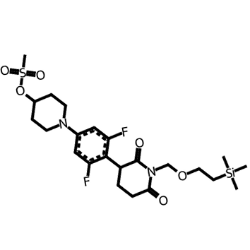 C[Si](C)(C)CCOCN1C(=O)CCC(c2c(F)cc(N3CCC(OS(C)(=O)=O)CC3)cc2F)C1=O